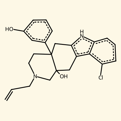 C=CCN1CCC2(c3cccc(O)c3)Cc3[nH]c4cccc(Cl)c4c3CC2(O)C1